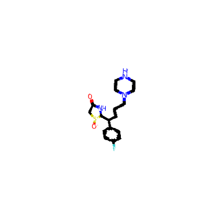 O=C1C[S+]([O-])C(C(CCCN2CCNCC2)c2ccc(F)cc2)N1